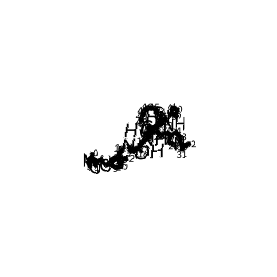 Cc1ncoc1COc1ccc2c(c1)CN[C@H]([C@H](O)CNC(=O)C1CC(C3CCN(C(C)C)CC3)NC(NC3CCC3)C13CCCCCCCCC3)C2